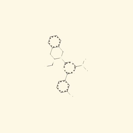 CCCN(O)c1nc(-c2cccc(O)c2)nc(N2Cc3ccccc3C[C@@H]2CO)n1